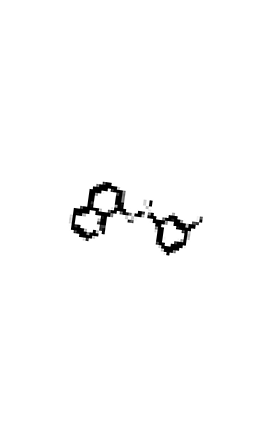 Fc1cccc(BOc2cccc3cccnc23)c1